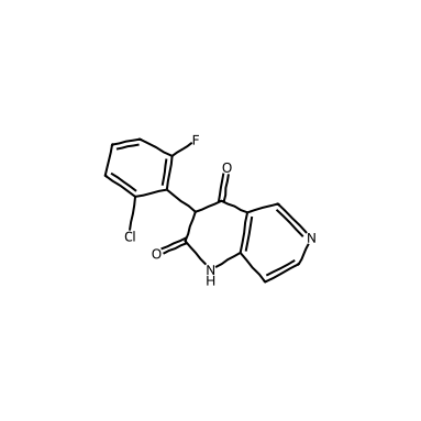 O=C1Nc2ccncc2C(=O)C1c1c(F)cccc1Cl